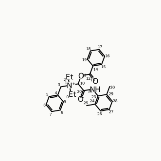 CC[N+](CC)(Cc1ccccc1)C(OC(=O)c1ccccc1)C(=O)Nc1c(C)cccc1C